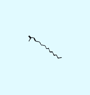 C=C(C)C=CCCCCCCCCCCC